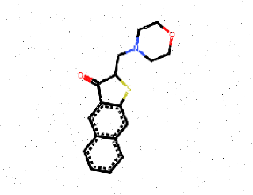 O=C1c2cc3ccccc3cc2SC1CN1CCOCC1